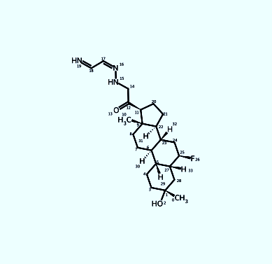 C[C@@]1(O)CC[C@@H]2[C@H]3CC[C@]4(C)[C@@H](C(=O)CN/N=C\C=N)CC[C@H]4[C@@H]3C[C@@H](F)[C@@H]2C1